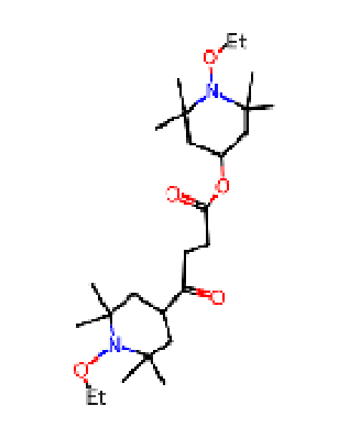 CCON1C(C)(C)CC(OC(=O)CCC(=O)C2CC(C)(C)N(OCC)C(C)(C)C2)CC1(C)C